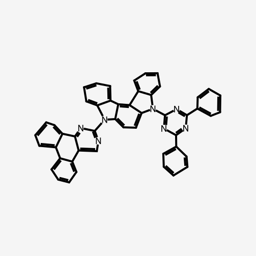 c1ccc(-c2nc(-c3ccccc3)nc(-n3c4ccccc4c4c5c6ccccc6n(-c6ncc7c8ccccc8c8ccccc8c7n6)c5ccc43)n2)cc1